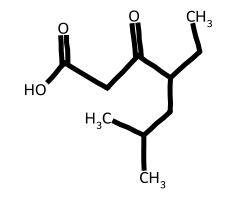 CCC(CC(C)C)C(=O)CC(=O)O